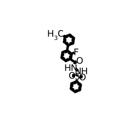 Cc1cccc(-c2cccc(C(=O)NNS(=O)(=O)c3ccccc3)c2F)c1